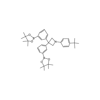 CC(C)(C)c1ccc(N2CC(c3cccc(B4OC(C)(C)C(C)(C)O4)c3)(c3cccc(B4OC(C)(C)C(C)(C)O4)c3)C2)cc1